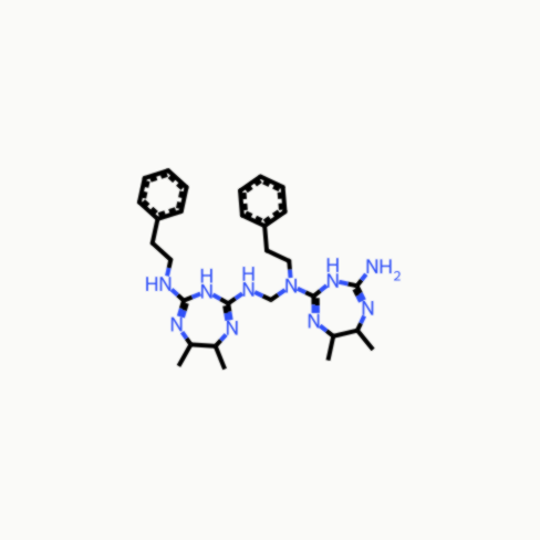 CC1N=C(N)NC(N(CCc2ccccc2)CNC2=NC(C)C(C)N=C(NCCc3ccccc3)N2)=NC1C